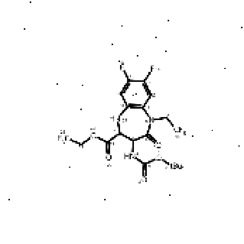 CC(C)(C)OC(=O)NC1C(=O)N(CC(F)(F)F)c2cc(F)c(F)cc2NC1C(=O)OCC(F)(F)F